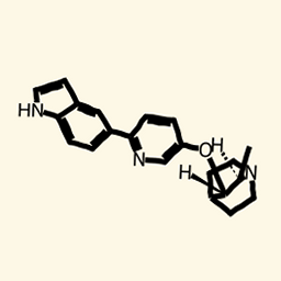 C[C@@H]1[C@@H](Oc2ccc(-c3ccc4[nH]ccc4c3)nc2)C2CCN1CC2